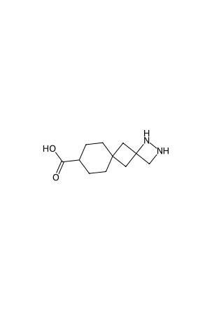 O=C(O)C1CCC2(CC1)CC1(CNN1)C2